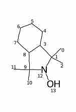 CC1(C)C2CCCCC2C(C)(C)N1O